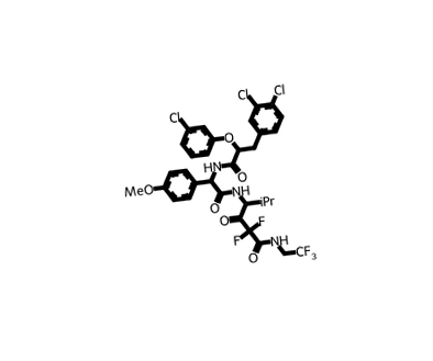 COc1ccc(C(NC(=O)C(Cc2ccc(Cl)c(Cl)c2)Oc2cccc(Cl)c2)C(=O)NC(C(=O)C(F)(F)C(=O)NCC(F)(F)F)C(C)C)cc1